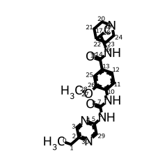 CCc1cnc(NC(=O)Nc2ccc(C(=O)NC3CN4CCC3CC4)cc2OC)cn1